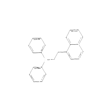 c1ccc(P(CCc2cccc3ccccc23)c2ccccc2)cc1